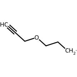 C#CCOCC[CH2]